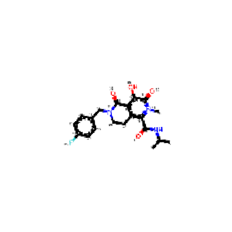 CC(C)NC(=O)c1c2c(c(O)c(=O)n1C)C(=O)N(Cc1ccc(F)cc1)CC2